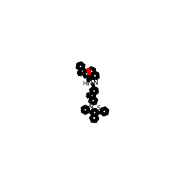 CC1(C)c2cc(C3=Nc4ccc5ccccc5c4C(C)(c4ccc5c(c4)C(C)(C)c4ccccc4-5)N3)ccc2-c2ccc(-n3c4ccccc4c4c5ccccc5c5c6ccccc6sc5c43)cc21